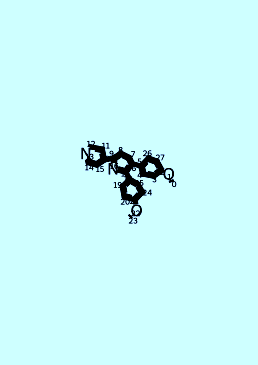 COc1ccc(-c2ccc(-c3ccncc3)nc2-c2ccc(OC)cc2)cc1